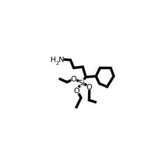 CCO[Si](OCC)(OCC)C(CCCN)C1CCCCC1